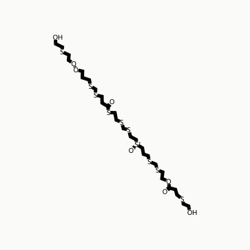 O=C(CCSCCO)OCCSCSCCC[S+]([O-])CCSCSCCSC(=O)CCSCSCCCOOCCSCCO